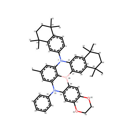 Cc1cc2c3c(c1)N(c1ccc4c(c1)C(C)(C)CCC4(C)C)c1cc4c(cc1B3c1cc3c(cc1N2c1ccccc1)OCCO3)C(C)(C)CCC4(C)C